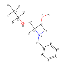 COC1CN(Cc2ccccc2)C1(C)CO[Si](C)(C)C(C)(C)C